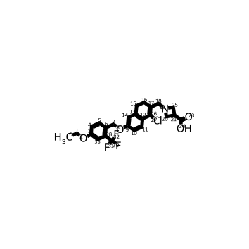 CCOc1ccc(COc2ccc3c(c2)CCC(CN2CC(C(=O)O)C2)=C3Cl)c(C(F)(F)F)c1